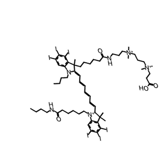 CCCCNC(=O)CCCCC[N+]1=C(/C=C/C=C/C=C/C=C2\N(CCCC)c3cc(I)c(I)c(I)c3C2(C)CCCCCC(=O)NCCC[N+](C)(C)CCC[N+](C)(C)CCC(=O)O)C(C)(C)c2c1cc(I)c(I)c2I